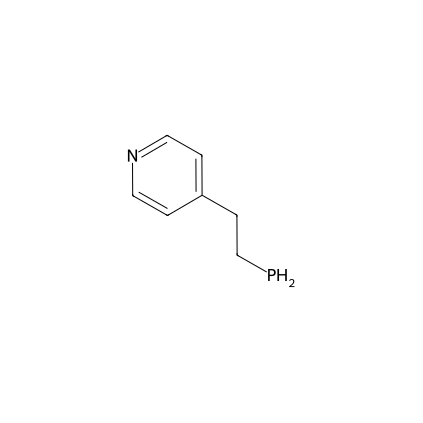 PCCc1ccncc1